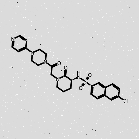 O=C(CN1CCC[C@H](NS(=O)(=O)c2ccc3cc(Cl)ccc3c2)C1=O)N1CCN(c2ccncc2)CC1